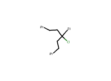 CCC(Cl)(CCC(C)C)CCC(C)C